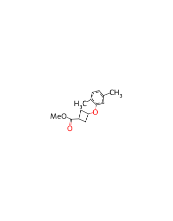 COC(=O)C1CC(Oc2cc(C)ccc2C)C1